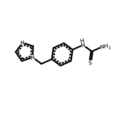 NC(=S)Nc1ccc(Cn2ccnc2)cc1